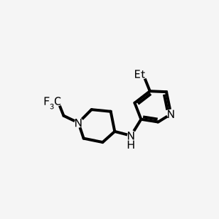 CCc1cncc(NC2CCN(CC(F)(F)F)CC2)c1